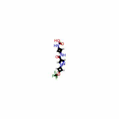 O=C(O)NC12CC(NC(=O)c3cnn(C4CC(OC(F)(F)F)C4)c3)(C1)C2